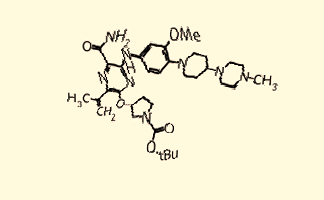 C=C(C)c1nc(C(N)=O)c(Nc2ccc(N3CCC(N4CCN(C)CC4)CC3)c(OC)c2)nc1O[C@@H]1CCN(C(=O)OC(C)(C)C)C1